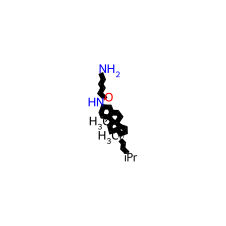 CC(C)CCCC[C@H]1CCC2C3CC=C4C[C@@H](NC(=O)CCCCCN)CC[C@]4(C)C3CC[C@@]21C